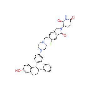 O=C1CCC(N2Cc3cc(CN4CCN(c5ccc([C@H]6c7ccc(O)cc7CC[C@H]6c6ccccc6)cc5)CC4)c(F)cc3C2=O)C(=O)N1